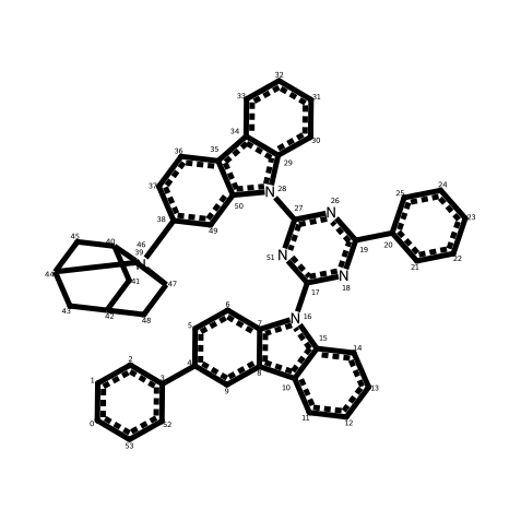 c1ccc(-c2ccc3c(c2)c2ccccc2n3-c2nc(-c3ccccc3)nc(-n3c4ccccc4c4ccc(N5C6CC7CC(C6)CC5C7)cc43)n2)cc1